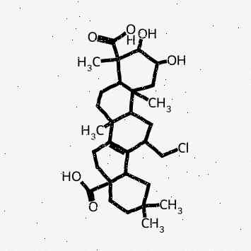 CC1(C)CCC2(C(=O)O)CCC3=C(C(CCl)CC4C3(C)CCC3C4(C)CC(O)C(O)C3(C)C(=O)O)C2C1